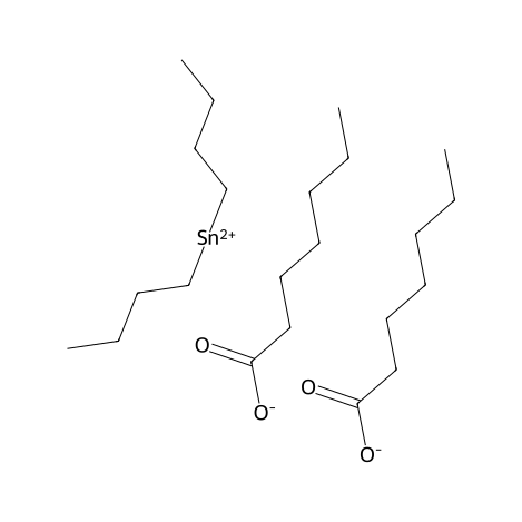 CCCCCCC(=O)[O-].CCCCCCC(=O)[O-].CCC[CH2][Sn+2][CH2]CCC